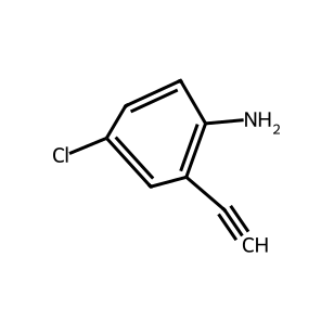 C#Cc1cc(Cl)ccc1N